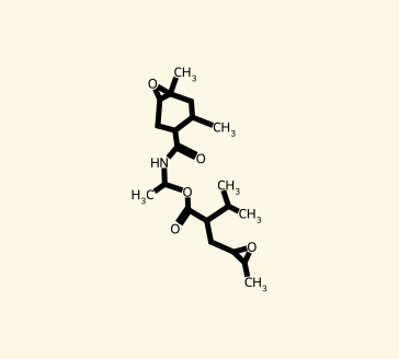 CC(NC(=O)C1CC2OC2(C)CC1C)OC(=O)C(CC1OC1C)C(C)C